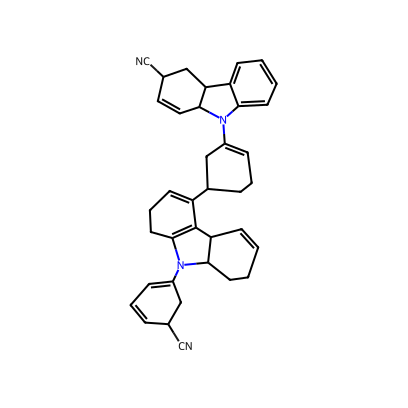 N#CC1C=CC=C(N2C3=C(C(C4CCC=C(N5c6ccccc6C6CC(C#N)C=CC65)C4)=CCC3)C3C=CCCC32)C1